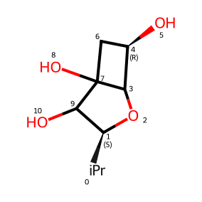 CC(C)[C@@H]1OC2[C@H](O)CC2(O)C1O